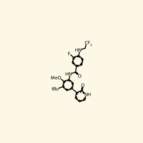 COc1c(NC(=O)c2ccc(NCC(F)(F)F)c(F)c2)cc(-c2ccc[nH]c2=O)cc1C(C)(C)C